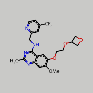 COc1cc2nc(C)nc(NCc3cc(C(F)(F)F)ccn3)c2cc1OCCOC1COC1